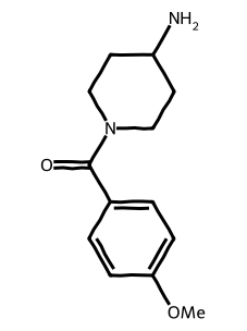 COc1ccc(C(=O)N2CCC(N)CC2)cc1